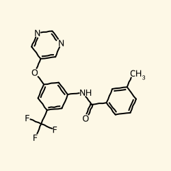 Cc1cccc(C(=O)Nc2cc(Oc3cncnc3)cc(C(F)(F)F)c2)c1